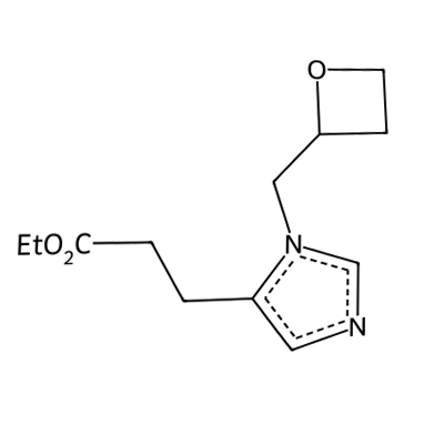 CCOC(=O)CCc1cncn1CC1CCO1